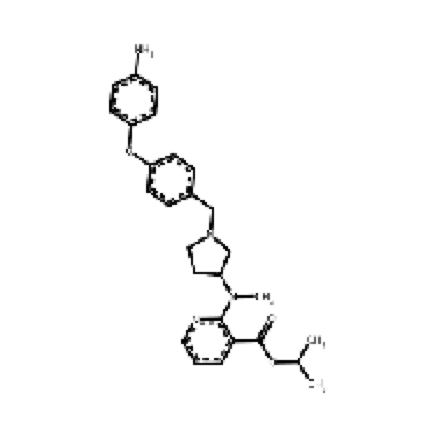 CC(C)OC(=O)c1cccnc1N(C)[C@H]1CCN(Cc2ccc(Oc3ccc(N)cc3)cc2)C1